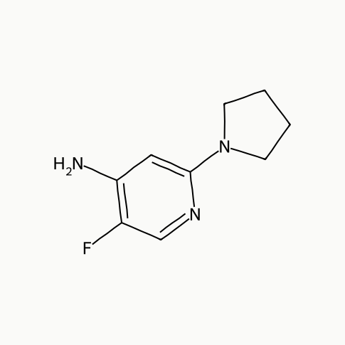 Nc1cc(N2CCCC2)ncc1F